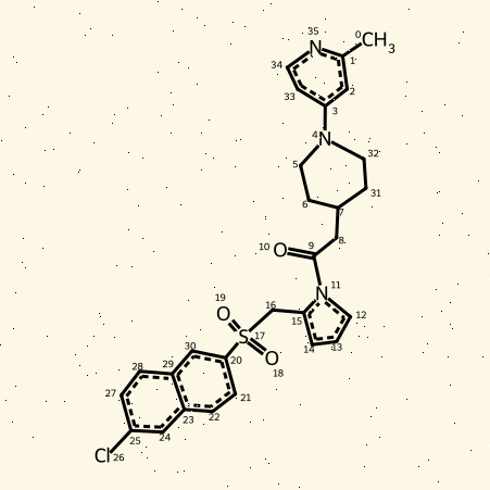 Cc1cc(N2CCC(CC(=O)n3cccc3CS(=O)(=O)c3ccc4cc(Cl)ccc4c3)CC2)ccn1